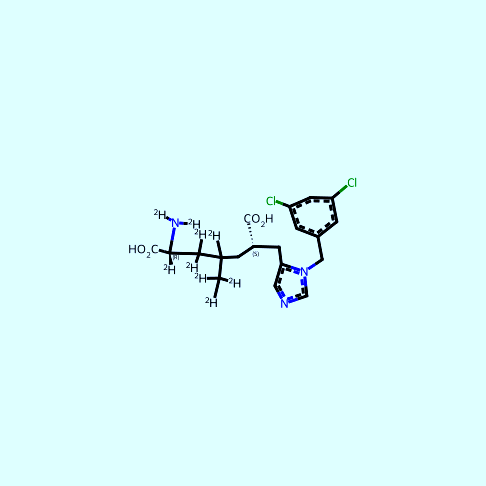 [2H]N([2H])[C@@]([2H])(C(=O)O)C([2H])([2H])C([2H])(C[C@@H](Cc1cncn1Cc1cc(Cl)cc(Cl)c1)C(=O)O)C([2H])([2H])[2H]